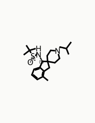 C[C](C)CN1CCC2(CC1)Cc1c(C)cccc1[C@H]2N[S@+]([O-])C(C)(C)C